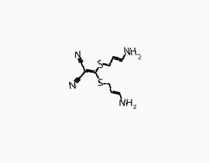 N#CC(C#N)=C(SCC=CN)SCC=CN